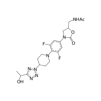 CC(=O)NCC1CN(c2cc(F)c(N3CCC(n4nnc(C(C)O)n4)CC3)c(F)c2)C(=O)O1